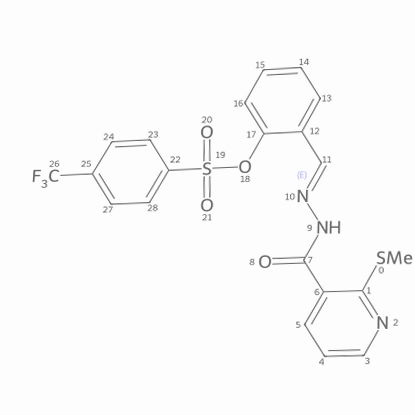 CSc1ncccc1C(=O)N/N=C/c1ccccc1OS(=O)(=O)c1ccc(C(F)(F)F)cc1